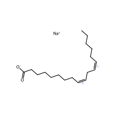 CCCCC/C=C\C/C=C\CCCCCCCC(=O)[O-].[Na+]